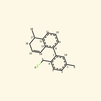 Cc1ccc(CF)c(-c2cccc3c2C=CCC3C)c1